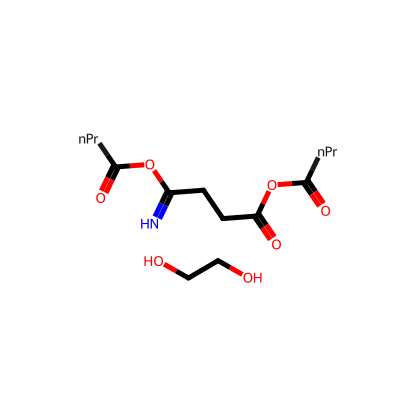 CCCC(=O)OC(=N)CCC(=O)OC(=O)CCC.OCCO